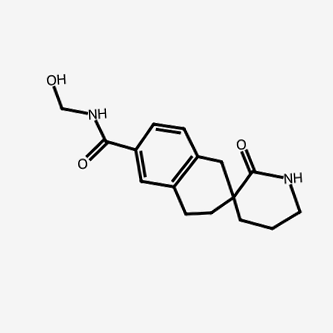 O=C(NCO)c1ccc2c(c1)CCC1(CCCNC1=O)C2